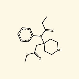 CCC(=O)N(c1ccccc1)C1(CC(=O)OC)CCNCC1